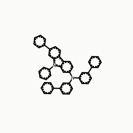 c1ccc(-c2cccc(N(c3cccc(-c4ccccc4)c3)c3ccc4c5ccc(-c6ccccc6)cc5n(-c5ccccc5)c4c3)c2)cc1